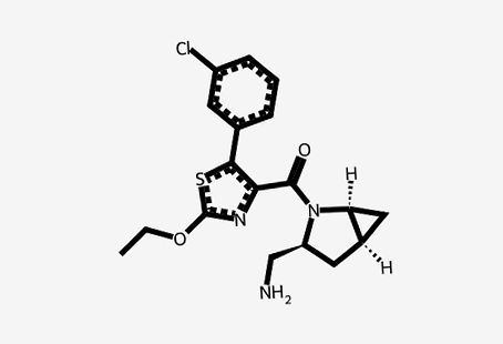 CCOc1nc(C(=O)N2[C@H](CN)C[C@@H]3C[C@@H]32)c(-c2cccc(Cl)c2)s1